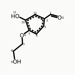 O=Cc1ccc(OCCO)c(O)c1